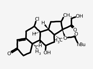 CCCCC(=O)O[C@]1(C(=O)CO)C(C)C[C@H]2[C@@H]3C(Cl)CC4=CC(=O)CC[C@]4(C)[C@H]3C(O)C[C@@]21C